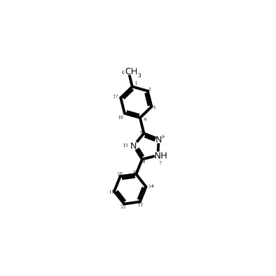 Cc1ccc(-c2n[nH]c(-c3ccccc3)n2)cc1